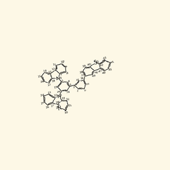 c1cc(-c2cc(-n3c4ccccc4c4ccccc43)cc(-n3c4ccccc4c4ncccc43)c2)cc(-c2ccc3sc4ccccc4c3c2)c1